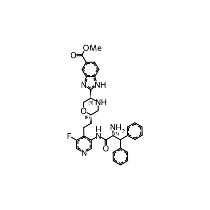 COC(=O)c1ccc2[nH]c([C@@H]3CO[C@H](CCc4c(F)cncc4NC(=O)[C@@H](N)C(c4ccccc4)c4ccccc4)CN3)nc2c1